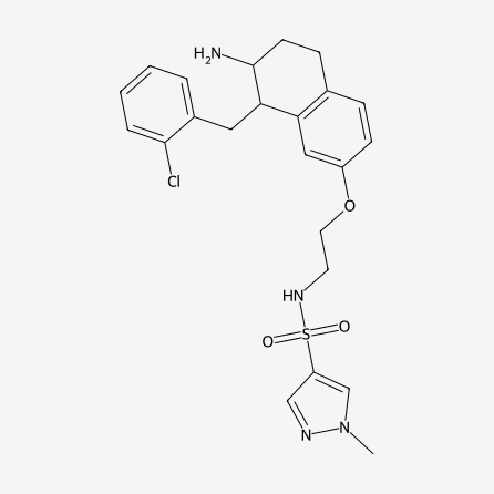 Cn1cc(S(=O)(=O)NCCOc2ccc3c(c2)C(Cc2ccccc2Cl)C(N)CC3)cn1